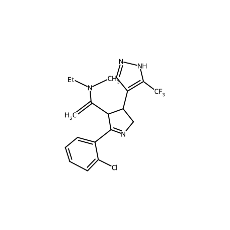 C=C(C1C(c2ccccc2Cl)=NCC1c1cn[nH]c1C(F)(F)F)N(C)CC